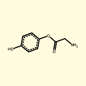 NCC(=O)Oc1ccc(O)cc1